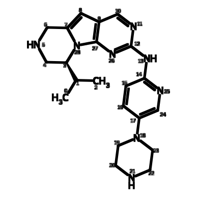 CC(C)[C@H]1CNCc2cc3cnc(Nc4ccc(N5CCNCC5)cn4)nc3n21